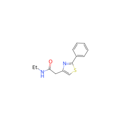 CCNC(=O)Cc1csc(-c2ccccc2)n1